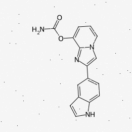 NC(=O)Oc1cccn2cc(-c3ccc4[nH]ccc4c3)nc12